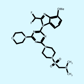 COc1cccc2c1nc(C(F)F)n2-c1nc(N2CCOCC2)nc(N2CCN(S(=O)(=O)CN(C)C)CC2)n1